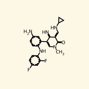 CN1C=C(c2cc(N)ccc2Nc2ccc(F)cc2F)C(=N)/C(=C\NC2CC2)C1=O